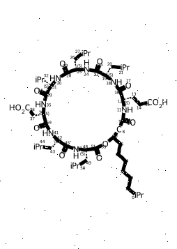 CC(C)CCCCCCC1CC(=O)N[C@@H](CCC(=O)O)C(=O)N[C@@H](CC(C)C)C(=O)N[C@@H](CC(C)C)C(=O)N[C@@H](C(C)C)C(=O)N[C@@H](CC(=O)O)C(=O)N[C@@H](CC(C)C)C(=O)N[C@@H](CC(C)C)C(=O)O1